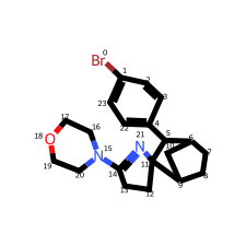 Brc1ccc(C2C3CCC(C3)C23CCC(N2CCOCC2)=N3)cc1